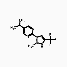 CC(C)c1cnc(N2C=C(C(F)(F)F)NN2C)nc1